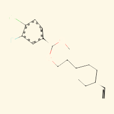 C=C[C@H]1CC[C@H]([C@H]2CO[C@H](c3ccc(Cl)c(F)c3)OC2)CC1